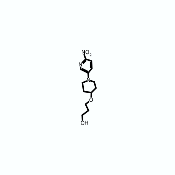 O=[N+]([O-])c1ccc(N2CCC(OCCCO)CC2)cn1